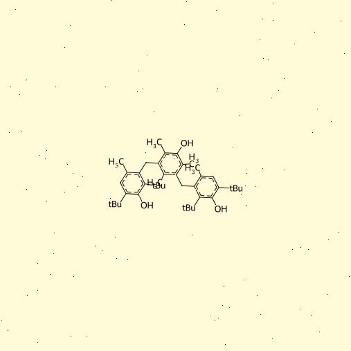 Cc1cc(C(C)(C)C)c(O)c(C(C)(C)C)c1Cc1c(C)c(O)c(C)c(Cc2c(C)cc(C(C)(C)C)c(O)c2C(C)(C)C)c1C